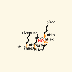 CCCC(C)C(C)(C)[PH](=O)O.CCCCCCCCCCCCCC[P+](CCCCCC)(CCCCCC)CCCCCC.CCCCCCCCCCCCCC[P+](CCCCCC)(CCCCCC)CCCCCC.CCCCCCCCCCCCCC[P+](CCCCCC)(CCCCCC)CCCCCC